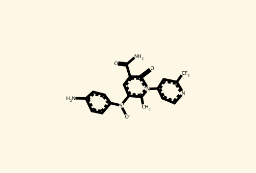 Cc1c([S+]([O-])c2ccc(N)cc2)cc(C(N)=O)c(=O)n1-c1ccnc(C(F)(F)F)c1